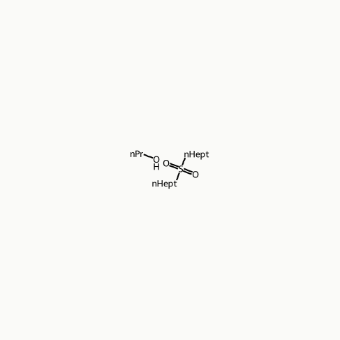 CCCCCCCS(=O)(=O)CCCCCCC.CCCO